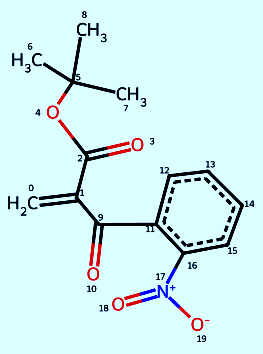 C=C(C(=O)OC(C)(C)C)C(=O)c1ccccc1[N+](=O)[O-]